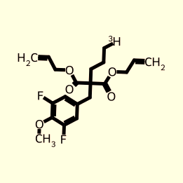 [3H]CCCC(Cc1cc(F)c(OC)c(F)c1)(C(=O)OCC=C)C(=O)OCC=C